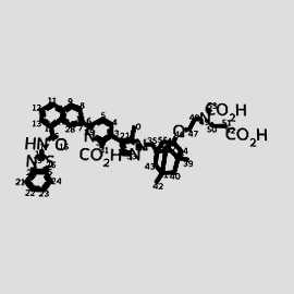 Cc1c(-c2ccc(-c3ccc4cccc(C(=O)Nc5nc6ccccc6s5)c4c3)nc2C(=O)O)cnn1CC12CC3(C)CC(C)(C1)CC(OCCN(CCC(=O)O)C(=O)O)(C3)C2